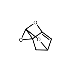 C1=C2OC34OC1CC23O4